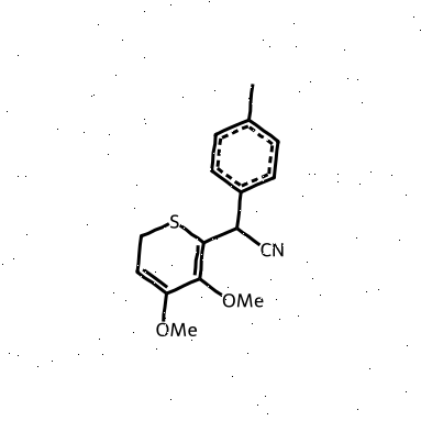 COC1=CCSC(C(C#N)c2ccc(C)cc2)=C1OC